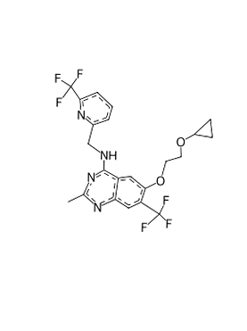 Cc1nc(NCc2cccc(C(F)(F)F)n2)c2cc(OCCOC3CC3)c(C(F)(F)F)cc2n1